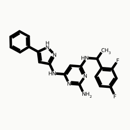 CC(Nc1cc(Nc2cc(-c3ccccc3)[nH]n2)nc(N)n1)c1ccc(F)cc1F